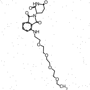 CCOCCOCCOCCOCCNc1cccc2c1C(=O)N(C1CCC(=O)NC1=O)C2=O